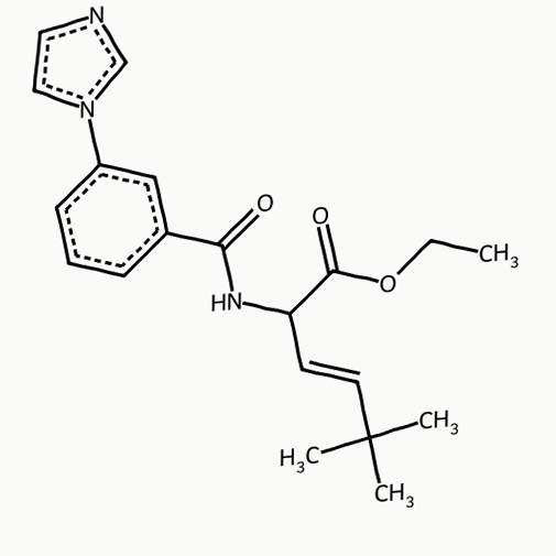 CCOC(=O)C(/C=C/C(C)(C)C)NC(=O)c1cccc(-n2ccnc2)c1